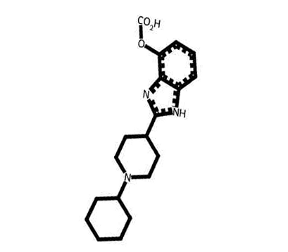 O=C(O)Oc1cccc2[nH]c(C3CCN(C4CCCCC4)CC3)nc12